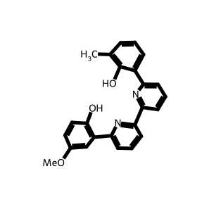 COc1ccc(O)c(-c2cccc(-c3cccc(-c4cccc(C)c4O)n3)n2)c1